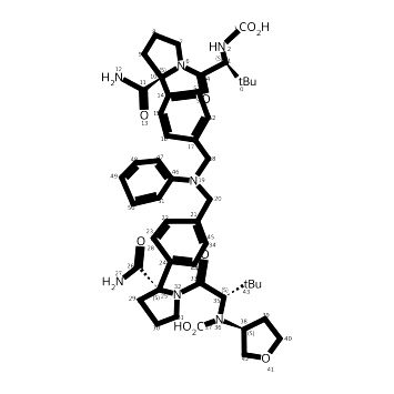 CC(C)(C)[C@H](NC(=O)O)C(=O)N1CCC[C@@]1(C(N)=O)c1ccc(CN(Cc2ccc([C@]3(C(N)=O)CCCN3C(=O)[C@@H](N(C(=O)O)[C@H]3CCOC3)C(C)(C)C)cc2)c2ccccc2)cc1